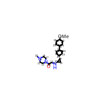 COc1ccc(-c2ccc([C@@H]3C[C@H]3NCC(=O)N3CCN(C)CC3)cc2)cc1